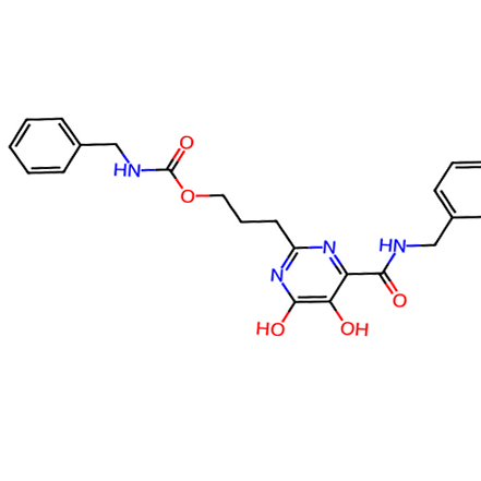 O=C(NCc1ccccc1)OCCCc1nc(O)c(O)c(C(=O)NCc2ccc(F)cc2)n1